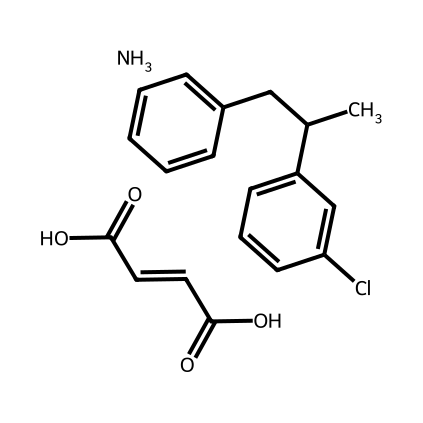 CC(Cc1ccccc1)c1cccc(Cl)c1.N.O=C(O)C=CC(=O)O